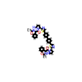 CCC(=O)N[C@@H](C(=O)N1CCC[C@H]1c1ncc(-c2ccc(-c3ccc(-c4cnc([C@@H]5CCCN5C(=O)[C@H](NC(=O)CC)c5ccccc5)s4)cc3)cc2)s1)c1ccccc1